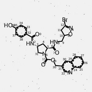 O=C(N[C@@H]1C[C@@H](C(=O)NCC2CC(Br)=NO2)N(C(=O)OCc2cnc3ccccc3c2)C1)c1ccc(O)cc1